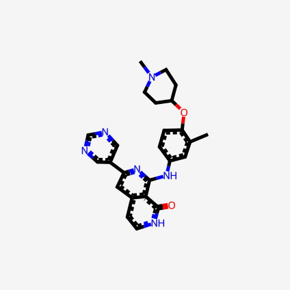 Cc1cc(Nc2nc(-c3cncnc3)cc3cc[nH]c(=O)c23)ccc1OC1CCN(C)CC1